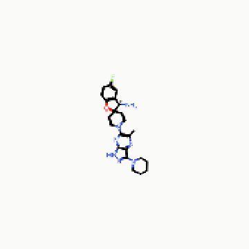 Cc1nc2c(N3CCCCC3)n[nH]c2nc1N1CCC2(CC1)Oc1ccc(F)cc1[C@H]2N